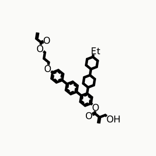 C=CC(=O)OCCCOc1ccc(-c2ccc(-c3ccc(OC(=O)C(=C)CO)cc3C3CCC(C4CCC(CC)CC4)CC3)cc2)cc1